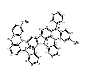 CC(C)(C)c1ccc2c(c1)B1c3c(cccc3-n3c4ccccc4c4c3c1cc1c3ccc5c6c3n(c14)-c1ccccc1B6c1cc(C(C)(C)C)ccc1N5c1ccccc1)O2